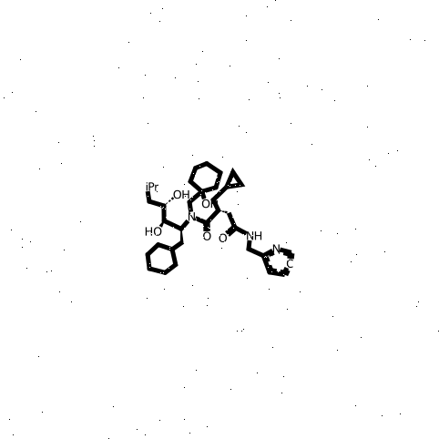 CC(C)C[C@H](O)[C@H](O)[C@H](CC1CCCCC1)N(CC1(O)CCCCC1)C(=O)[C@@H](CC(=O)NCc1ccccn1)CC1CC1